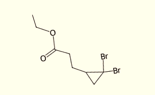 CCOC(=O)CCC1CC1(Br)Br